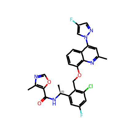 Cc1cc(-n2cc(F)cn2)c2cccc(OCc3c(Cl)cc(F)cc3[C@H](C)NC(=O)c3ocnc3C)c2n1